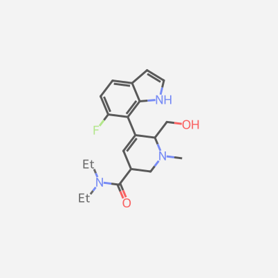 CCN(CC)C(=O)C1C=C(c2c(F)ccc3cc[nH]c23)C(CO)N(C)C1